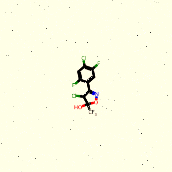 OC1(C(F)(F)F)ON=C(c2cc(F)c(Cl)cc2F)C1Cl